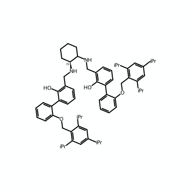 CC(C)c1cc(C(C)C)c(COc2ccccc2-c2cccc(CNC3CCCC[C@@H]3NCc3cccc(-c4ccccc4OCc4c(C(C)C)cc(C(C)C)cc4C(C)C)c3O)c2O)c(C(C)C)c1